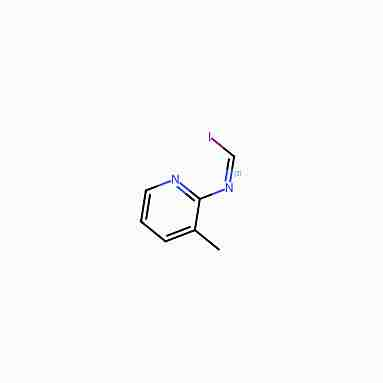 Cc1cccnc1/N=C\I